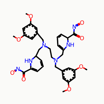 COc1cc(CN(CCN(Cc2cc(OC)cc(OC)c2)CC2C=CC=C(C(=O)N=O)N2)CC2=CC=CC(C(=O)N=O)N2)cc(OC)c1